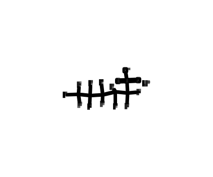 O=S(=O)([O-])C(F)(F)C(F)(F)C(F)(F)C(F)(F)C(F)(F)F.[Li+]